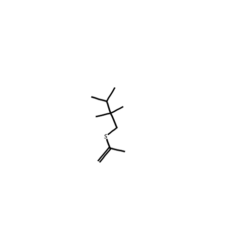 C=C(C)SCC(C)(C)C(C)C